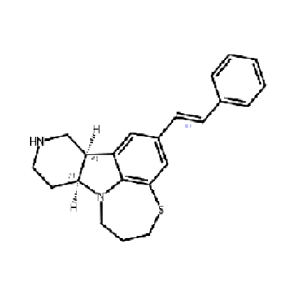 C(=C\c1cc2c3c(c1)[C@@H]1CNCC[C@@H]1N3CCCS2)/c1ccccc1